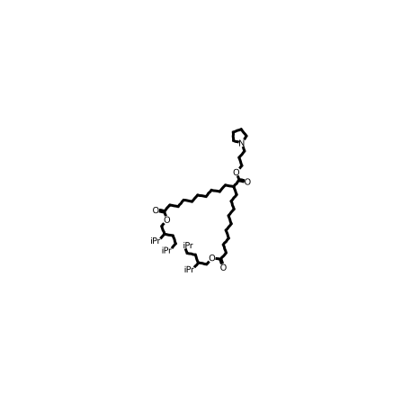 CC(C)CCC(COC(=O)CCCCCCCCCC(CCCCCCCCCC(=O)OCC(CCC(C)C)C(C)C)C(=O)OCCCN1CCCC1)C(C)C